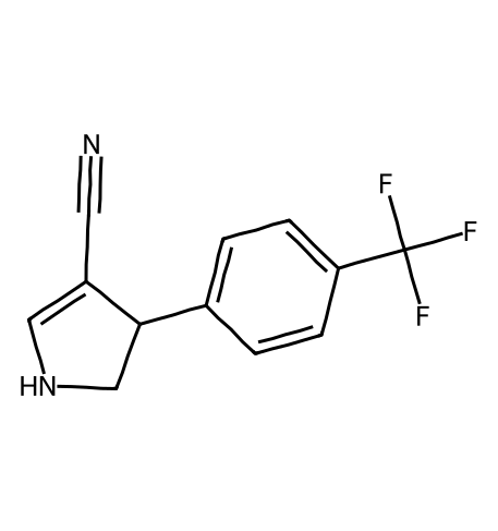 N#CC1=CNCC1c1ccc(C(F)(F)F)cc1